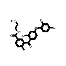 Cc1ccc(C(=O)NCCN)cc1C(=O)c1ccc(Nc2ccc(Cl)cc2F)cc1Cl